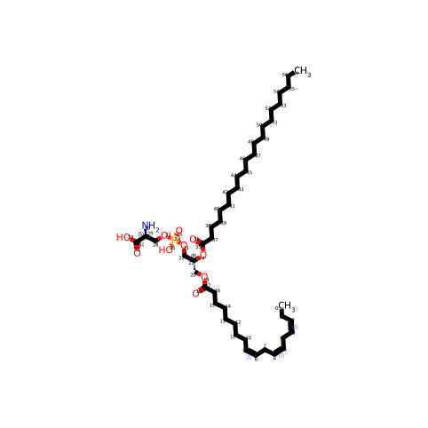 CC/C=C\C/C=C\C/C=C\CCCCCCCC(=O)OC[C@H](COP(=O)(O)OC[C@H](N)C(=O)O)OC(=O)CCCCCCCCCCCCCCCCCCCCC